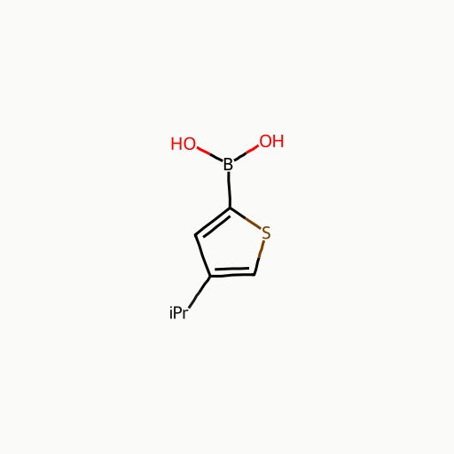 CC(C)c1csc(B(O)O)c1